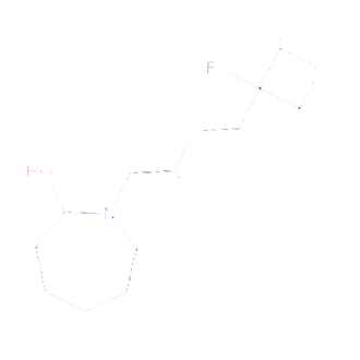 CCC1(COCCN2CCCCCC2O)COC1